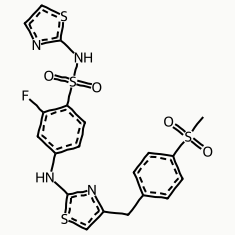 CS(=O)(=O)c1ccc(Cc2csc(Nc3ccc(S(=O)(=O)Nc4nccs4)c(F)c3)n2)cc1